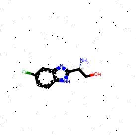 N[C@H](CO)c1nc2cc(Cl)ccc2[nH]1